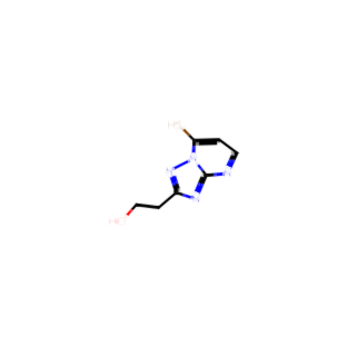 OCCc1nc2nccc(S)n2n1